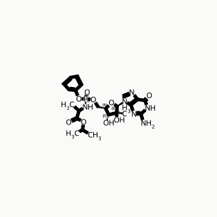 CC(C)OC(=O)C(C)N[P@](=O)(OC[C@H]1O[C@@H](n2cnc3c(=O)[nH]c(N)nc32)[C@](C)(O)[C@@H]1O)Oc1ccccc1